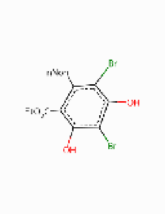 CCCCCCCCCc1c(Br)c(O)c(Br)c(O)c1C(=O)OCC